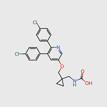 O=C(O)NCC1(COc2cnc(-c3ccc(Cl)cc3)c(-c3ccc(Cl)cc3)c2)CC1